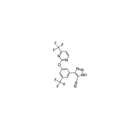 N#Cc1[nH]nnc1-c1cc(Oc2nccc(C(F)(F)F)n2)cc(C(F)(F)F)c1